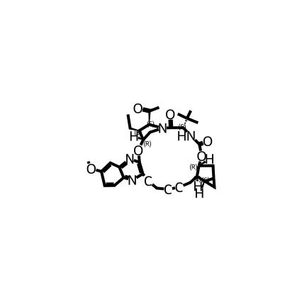 CC[C@@H]1[C@@H]2CN(C(=O)[C@H](C(C)(C)C)NC(=O)O[C@@H]3CC4C[C@@H]4[C@H]3CCCCCc3nc4ccc(OC)cc4nc3O2)[C@@H]1C(C)=O